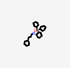 C(=C\c1ccccc1)/C=N/O[Si](c1ccccc1)(c1ccccc1)c1ccccc1